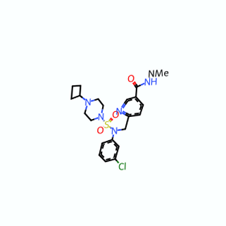 CNNC(=O)c1ccc(CN(c2cccc(Cl)c2)S(=O)(=O)N2CCN(C3CCC3)CC2)nc1